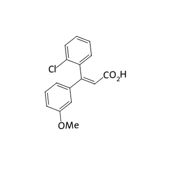 COc1cccc(C(=CC(=O)O)c2ccccc2Cl)c1